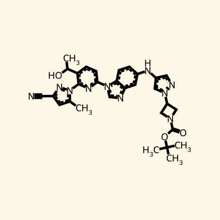 Cc1cc(C#N)nn1-c1nc(-n2cnc3cc(Nc4cnn(C5CN(C(=O)OC(C)(C)C)C5)c4)ccc32)ccc1C(C)O